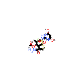 COc1cc(OC)nc(NS(=O)(=O)c2scc(C(N)=O)c2C(OC(C)=O)C(C)F)n1